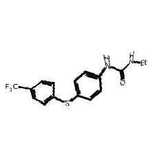 CCNC(=O)Nc1ccc(Sc2ccc(C(F)(F)F)cc2)cc1